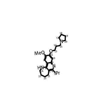 COc1cc2c3c(c(C(C)C)nc2cc1OCCCN1CCCC1)CCCCN3